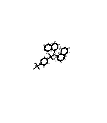 CC(C)(C)c1ccc(C(C)(C)N(c2cccc3ccccc23)c2cccc3ccccc23)cc1